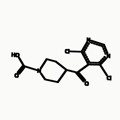 O=C(c1c(Cl)ncnc1Cl)C1CCN(C(=O)O)CC1